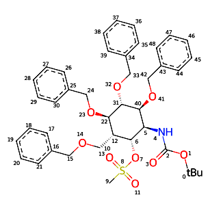 CC(C)(C)OC(=O)N[C@H]1[C@H](OS(C)(=O)=O)[C@H](COCc2ccccc2)[C@@H](OCc2ccccc2)[C@H](OCc2ccccc2)[C@H]1OCc1ccccc1